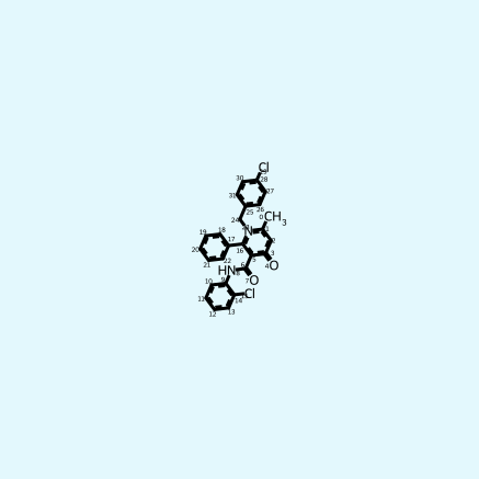 Cc1cc(=O)c(C(=O)Nc2ccccc2Cl)c(-c2ccccc2)n1Cc1ccc(Cl)cc1